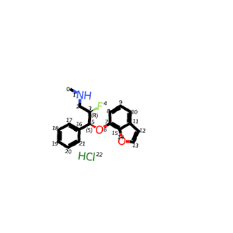 CNC[C@@H](F)[C@@H](Oc1cccc2ccoc12)c1ccccc1.Cl